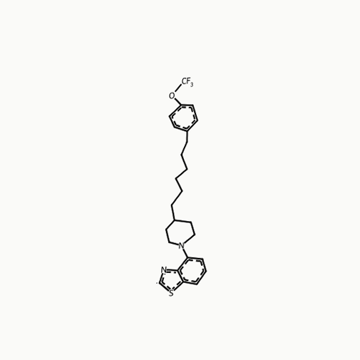 FC(F)(F)Oc1ccc(CCCCCCC2CCN(c3cccc4s[c]nc34)CC2)cc1